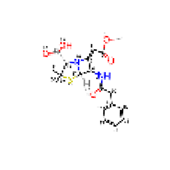 COC(=O)/C=C1\[C@@H](NC(=O)Cc2ccccc2)[C@H]2SC(C)(C)[C@H](C(=O)O)N12